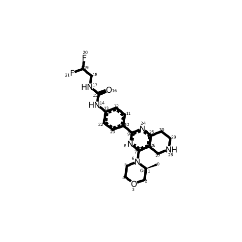 C[C@H]1COCCN1c1nc(-c2ccc(NC(=O)NCC(F)F)cc2)nc2c1CNCC2